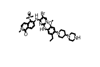 CCc1cc(Nc2ncc(Br)c(Nc3ccc4c(=O)n(C)ccc4c3P(C)(C)=O)n2)c(OC)cc1N1CCC(N2CCNCC2)CC1